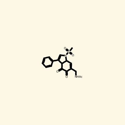 CC(=O)NCC1=CC2C(C(=O)C1=O)C(c1ccccc1)=CN2S(C)(=O)=O